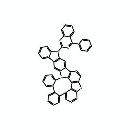 c1ccc(-c2nc(-n3c4ccccc4c4cc5c(cc43)c3ccc4sc6cccc7c8ccccc8c8ccccc8n5c3c4c67)nc3ccccc23)cc1